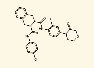 O=C(Nc1ccc(N2CCOCC2=O)cc1F)[C@@H]1Cc2ccccc2CN1C(=O)Nc1ccc(Cl)cc1